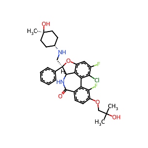 CC(C)(O)COc1ccc2c(c1F)-c1c(Cl)c(F)cc3c1[C@H](NC2=O)[C@@](CN[C@H]1CC[C@](C)(O)CC1)(c1ccccc1)O3